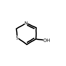 OC1=CSCN=C1